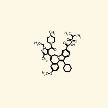 CCn1nc(C)c(C2=Cc3cc(OC)ccc3-c3c(C4CCCCC4)c4ccc(C(=O)NS(=O)(=O)C(C)C)cc4n3C2)c1C(=O)N1CCN(C)CC1